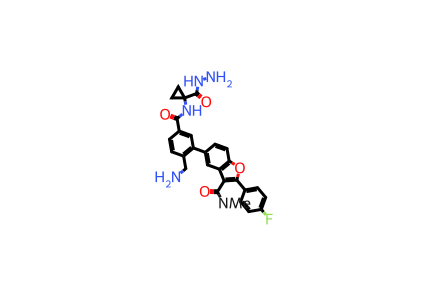 CNC(=O)c1c(-c2ccc(F)cc2)oc2ccc(-c3cc(C(=O)NC4(C(=O)NN)CC4)ccc3CN)cc12